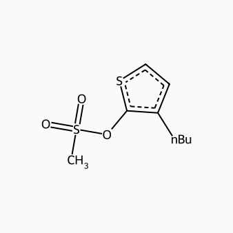 CCCCc1ccsc1OS(C)(=O)=O